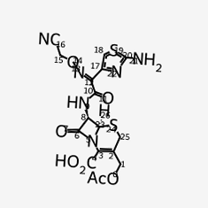 CC(=O)OCC1=C(C(=O)O)N2C(=O)[C@@H](NC(=O)C(=NOCC#N)c3csc(N)n3)[C@H]2SC1